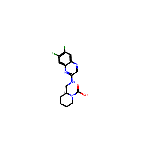 O=C(O)N1CCCC[C@H]1CNc1cnc2cc(F)c(F)cc2n1